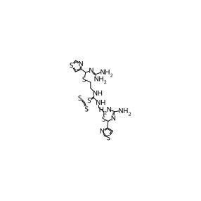 NC(N)=NC(SCCNC(=S)NCCSC(N=C(N)N)c1cscn1)c1cscn1.S=C=S